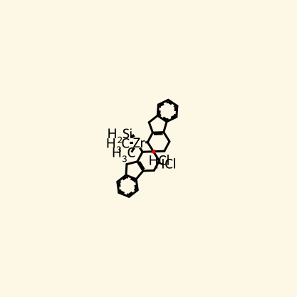 Cl.Cl.[CH3][Zr]([CH3])(=[SiH2])([CH]1CCCC2=C1Cc1ccccc12)[CH]1CCCC2=C1Cc1ccccc12